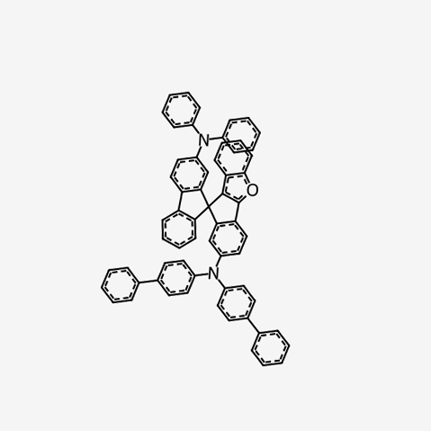 c1ccc(-c2ccc(N(c3ccc(-c4ccccc4)cc3)c3ccc4c(c3)C3(c5ccccc5-c5ccc(N(c6ccccc6)c6ccccc6)cc53)c3c-4oc4ccccc34)cc2)cc1